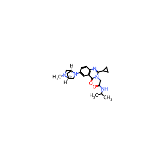 CC(C)NC(=O)Cn1c(C2CC2)nc2ccc(N3C[C@@H]4C[C@H]3CN4C)cc2c1=O